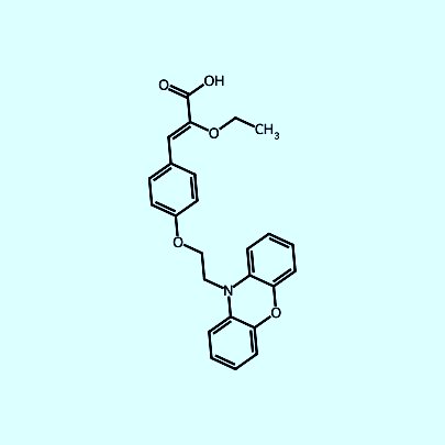 CCOC(=Cc1ccc(OCCN2c3ccccc3Oc3ccccc32)cc1)C(=O)O